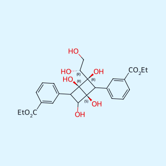 CCOC(=O)c1cccc(C2C(O)[C@@]3(O)C(c4cccc(C(=O)OCC)c4)[C@@](O)([C@H](O)CO)[C@@]23O)c1